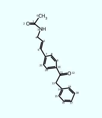 CC(=O)NCC=Cc1ccc(C(=O)Cc2ccccc2)cc1